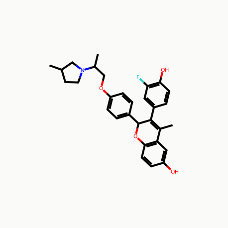 CC1=C(c2ccc(O)c(F)c2)C(c2ccc(OCC(C)N3CCC(C)C3)cc2)Oc2ccc(O)cc21